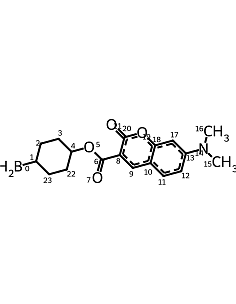 BC1CCC(OC(=O)c2cc3ccc(N(C)C)cc3oc2=O)CC1